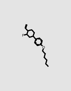 C=CC1CCC(c2ccc(OCCCCCC)cc2)CC1F